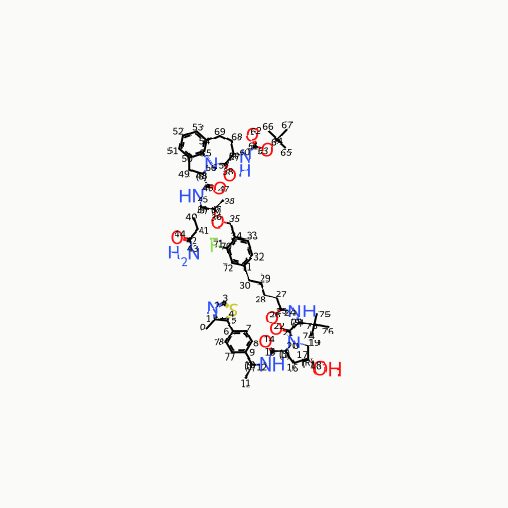 Cc1ncsc1-c1ccc([C@H](C)NC(=O)[C@@H]2C[C@@H](O)CN2C(=O)[C@@H](NC(=O)CCCCc2ccc(CO[C@H](C)[C@H](CCC(N)=O)NC(=O)[C@@H]3Cc4cccc5c4N3C(=O)[C@@H](NC(=O)OC(C)(C)C)CC5)c(F)c2)C(C)(C)C)cc1